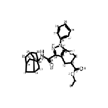 CCOC(=O)C1CCc2c(c(C(=O)NC34CC5CC(CC(C5)C3)C4)nn2-c2ccccc2)C1